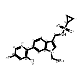 CC(C)(C)Cn1cc(CNS(=O)(=O)C2CC2)c2ccc(-c3ncc(F)cc3Cl)cc21